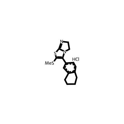 CSC1=C(c2ccc3c(c2)CCCC3)N2CCN=C2S1.Cl